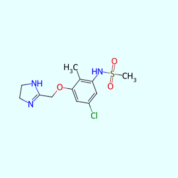 Cc1c(NS(C)(=O)=O)cc(Cl)cc1OCC1=NCCN1